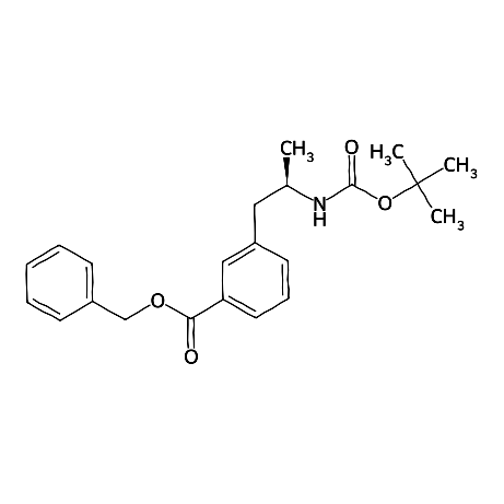 C[C@H](Cc1cccc(C(=O)OCc2ccccc2)c1)NC(=O)OC(C)(C)C